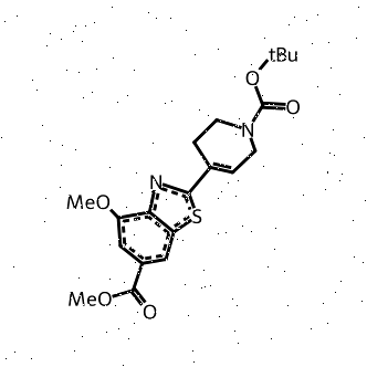 COC(=O)c1cc(OC)c2nc(C3=CCN(C(=O)OC(C)(C)C)CC3)sc2c1